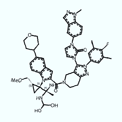 COC[C@H]1C[C@@]1(n1c(C(=O)N2CCc3nn(-c4cc(C)c(F)c(C)c4)c(-n4ccn(-c5ccc6c(cnn6C)c5)c4=O)c3C2)cc2cc(C3CCOCC3)ccc21)[C@](C)(N)NC(O)O